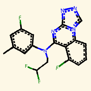 Cc1cc(F)cc(N(CC(F)F)c2nc3nncn3c3cccc(F)c23)c1